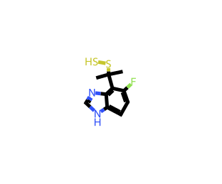 CC(C)(SS)c1c(F)ccc2[nH]cnc12